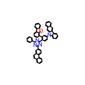 c1ccc(-c2nc(-c3ccc4c(ccc5ccccc54)c3)nc(-c3ccc(-n4c5ccccc5c5cc6ccccc6cc54)cc3-c3cccc4c3oc3ccccc34)n2)cc1